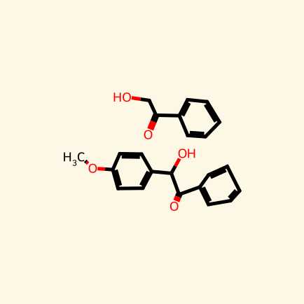 COc1ccc(C(O)C(=O)c2ccccc2)cc1.O=C(CO)c1ccccc1